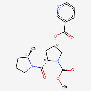 CC(C)(C)OC(=O)N1C[C@@H](OC(=O)c2cccnc2)C[C@H]1C(=O)N1CCC[C@H]1C#N